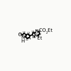 CCOC(=O)c1cc(CC)n2nc(-c3ccc4c(c3)CC(=O)N4)cc2n1